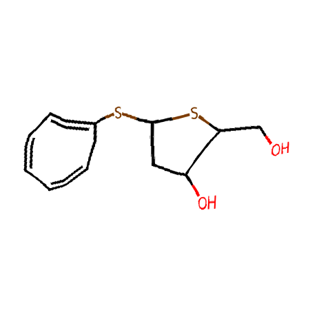 OCC1SC(Sc2ccccc2)CC1O